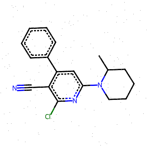 CC1CCCCN1c1cc(-c2ccccc2)c(C#N)c(Cl)n1